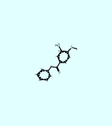 COc1ccc(C(=O)Cc2ccccc2)cc1O